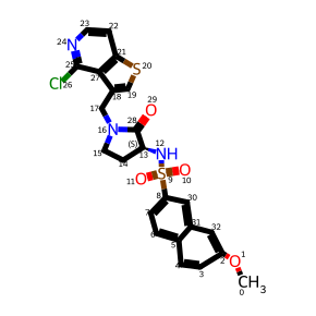 COc1ccc2ccc(S(=O)(=O)N[C@H]3CCN(Cc4csc5ccnc(Cl)c45)C3=O)cc2c1